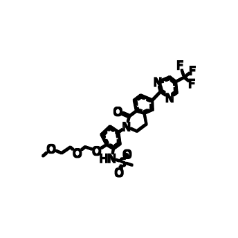 COCCOCOc1ccc(N2CCc3cc(-c4ncc(C(F)(F)F)cn4)ccc3C2=O)cc1NS(C)(=O)=O